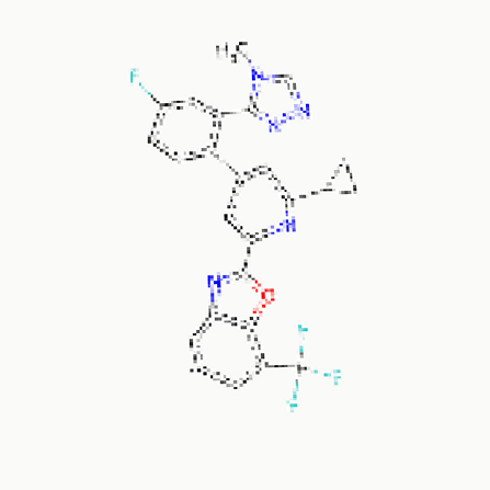 Cn1cnnc1-c1cc(F)ccc1-c1cc(-c2nc3c[c]cc(C(F)(F)F)c3o2)nc(C2CC2)c1